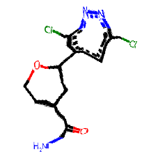 NC(=O)C1CCOC(c2cc(Cl)nnc2Cl)C1